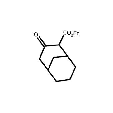 CCOC(=O)C1C(=O)CC2CCCC1C2